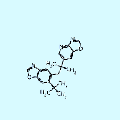 CC(C)(C)c1cc2ocnc2cc1CC(C)(C)c1cnc2ncoc2c1